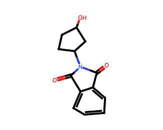 O=C1c2ccccc2C(=O)N1C1CCC(O)C1